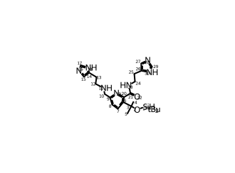 CC(C)(C)[SiH2]OC(C)(C)c1ccc(CNCCc2cnc[nH]2)nc1C(=O)NCCc1cnc[nH]1